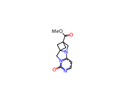 COC(=O)C12CN3c4ccnc(=O)n4CC3(C1)C2